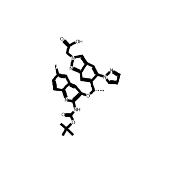 C[C@H](Oc1cc2cc(F)ccc2nc1NC(=O)OC(C)(C)C)c1cc2nn(CC(=O)O)cc2cc1-n1cccn1